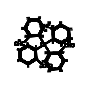 O=Cc1ccccc1[Si](c1ccccc1C=O)(c1ccccc1C=O)c1ccccc1C=O